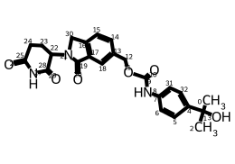 CC(C)(O)c1ccc(NC(=O)OCc2ccc3c(c2)C(=O)N(C2CCC(=O)NC2=O)C3)cc1